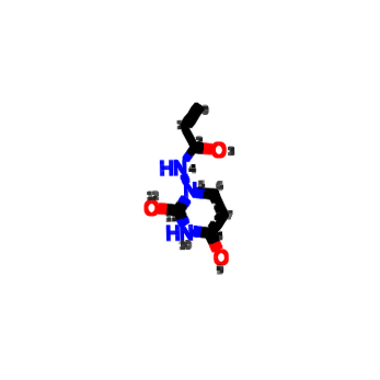 C=CC(=O)Nn1ccc(=O)[nH]c1=O